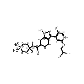 CC(C)n1nc(-c2cc(OCC(F)F)ncc2F)c2c1CC(C(=O)NC1(C)CCS(O)(O)CC1)CC2